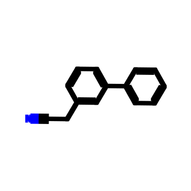 N#CCc1cccc(-c2ccccc2)c1